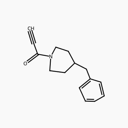 C#CC(=O)N1CCC(Cc2ccccc2)CC1